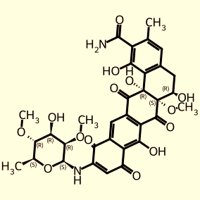 CO[C@@H]1[C@@H](O)[C@@H](OC)[C@@H](NC2=CC(=O)c3c(cc4c(c3O)C(=O)[C@]3(OC)[C@H](O)Cc5cc(C)c(C(N)=O)c(O)c5[C@]3(O)C4=O)C2=O)O[C@H]1C